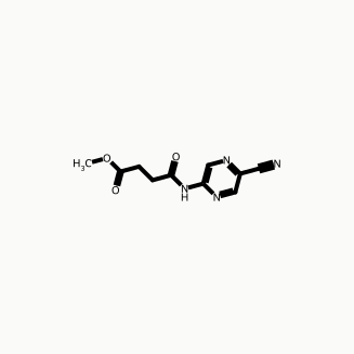 COC(=O)CCC(=O)Nc1cnc(C#N)cn1